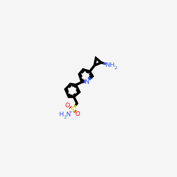 NC1CC1c1ccc(-c2cccc(CS(N)(=O)=O)c2)nc1